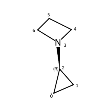 [CH]1C[C@@H]1N1CCC1